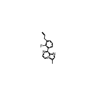 C=CCc1cccc(-c2nccn3c(C)cnc23)c1F